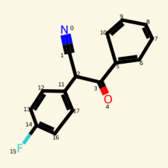 N#CC(C(=O)c1ccccc1)c1ccc(F)cc1